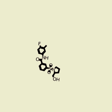 Cc1cc(NC(=O)c2cccc(S(=O)(=O)N3CCCC3CO)c2)ccc1F